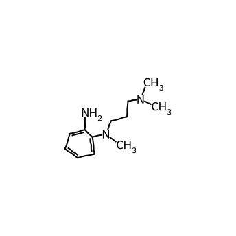 CN(C)CCCN(C)c1ccccc1N